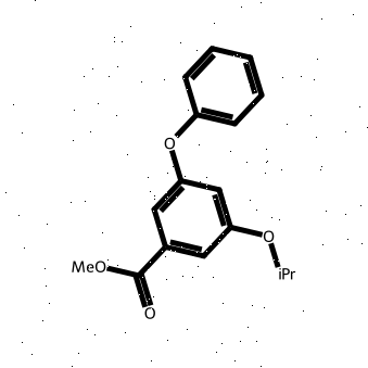 COC(=O)c1cc(Oc2ccccc2)cc(OC(C)C)c1